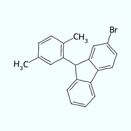 Cc1ccc(C)c(C2c3ccccc3-c3ccc(Br)cc32)c1